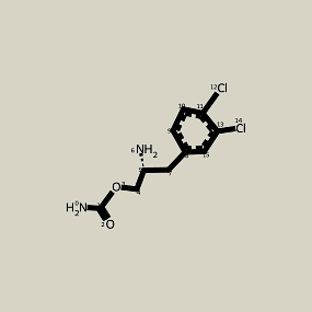 NC(=O)OC[C@H](N)Cc1ccc(Cl)c(Cl)c1